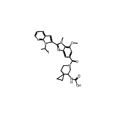 COc1cc(C(=O)N2CCC3(CC3)C(NC(=O)O)C2)cc2nc(-c3cc4cccnc4n3C(C)I)n(C)c12